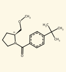 COC[C@@H]1CCCN1C(=O)c1ccc(C(C)(C)C)cc1